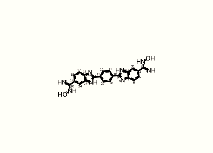 N=C(NO)c1ccc2nc(-c3ccc(-c4nc5ccc(C(=N)NO)cc5[nH]4)cc3)[nH]c2c1